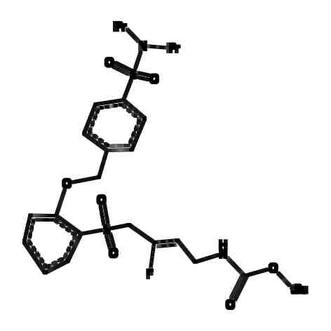 CC(C)N(C(C)C)S(=O)(=O)c1ccc(COc2ccccc2S(=O)(=O)C/C(F)=C/CNC(=O)OC(C)(C)C)cc1